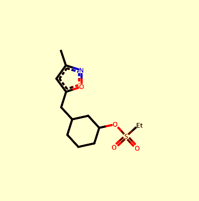 CCS(=O)(=O)OC1CCCC(Cc2cc(C)no2)C1